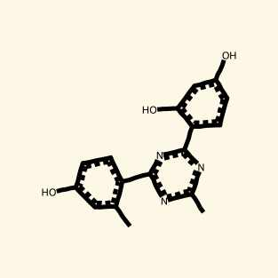 Cc1nc(-c2ccc(O)cc2C)nc(-c2ccc(O)cc2O)n1